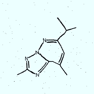 Cc1nc2c(C)cc(C(C)C)nn2n1